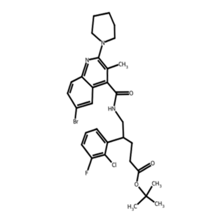 Cc1c(N2CCCCC2)nc2ccc(Br)cc2c1C(=O)NCC(CCC(=O)OC(C)(C)C)c1cccc(F)c1Cl